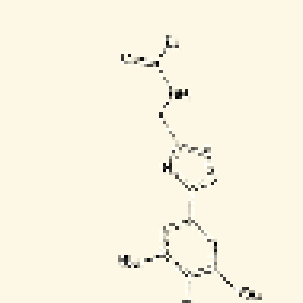 CCC(=O)NCc1nc(-c2cc(C(C)(C)C)c(O)c(C(C)(C)C)c2)cs1